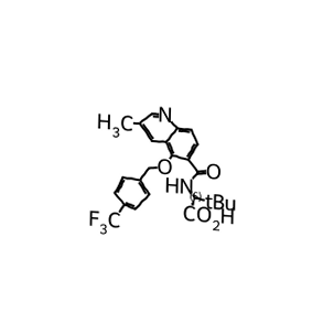 Cc1cnc2ccc(C(=O)N[C@H](C(=O)O)C(C)(C)C)c(OCc3ccc(C(F)(F)F)cc3)c2c1